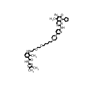 CC(=O)c1c(C)c2cnc(Nc3ccc(N4CCN(CCCCCOCCOCCNc5cccc(C(=O)Nc6nc(C)c(C)s6)c5C)CC4)cn3)nc2n(C2CCCC2)c1=O